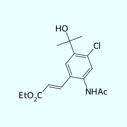 CCOC(=O)C=Cc1cc(C(C)(C)O)c(Cl)cc1NC(C)=O